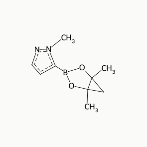 Cn1nccc1B1OC2(C)CC2(C)O1